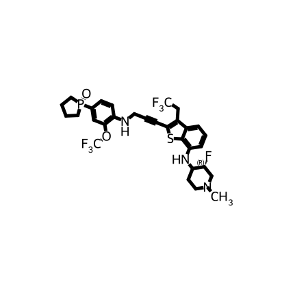 CN1CCC(Nc2cccc3c(CC(F)(F)F)c(C#CCNc4ccc(P5(=O)CCCC5)cc4OC(F)(F)F)sc23)[C@H](F)C1